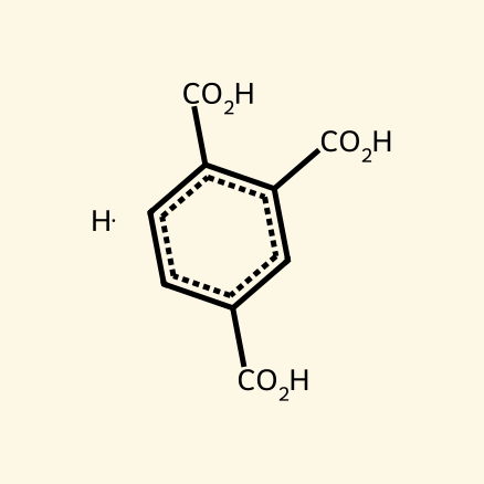 O=C(O)c1ccc(C(=O)O)c(C(=O)O)c1.[H]